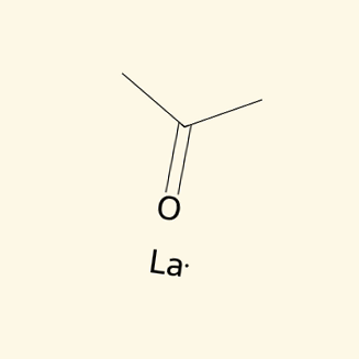 CC(C)=O.[La]